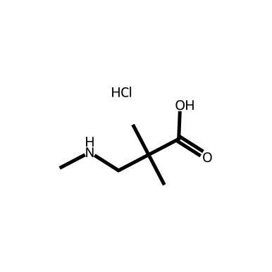 CNCC(C)(C)C(=O)O.Cl